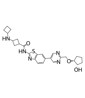 O=C(Nc1nc2ccc(-c3cnc(CO[C@H]4CCC[C@@H]4O)nc3)cc2s1)C1CC(NC2CCC2)C1